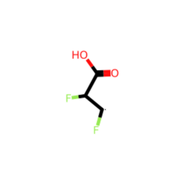 O=C(O)C(F)[CH]F